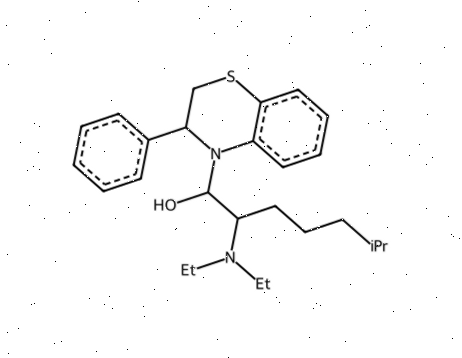 CCN(CC)C(CCCC(C)C)C(O)N1c2ccccc2SCC1c1ccccc1